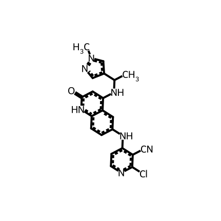 CC(Nc1cc(=O)[nH]c2ccc(Nc3ccnc(Cl)c3C#N)cc12)c1cnn(C)c1